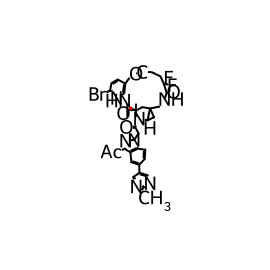 CC(=O)c1nn(CC(=O)N2[C@H]3CC4(CNC(=O)C(F)(F)CCCOCc5ccc(Br)nc5NC3=O)C[C@@H]24)c2ccc(-c3cnc(C)nc3)cc12